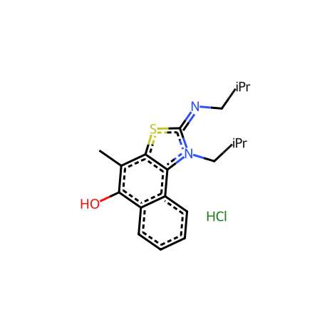 Cc1c(O)c2ccccc2c2c1sc(=NCC(C)C)n2CC(C)C.Cl